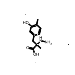 Cc1ccc(CC(C)(NN)C(=O)O)cc1O